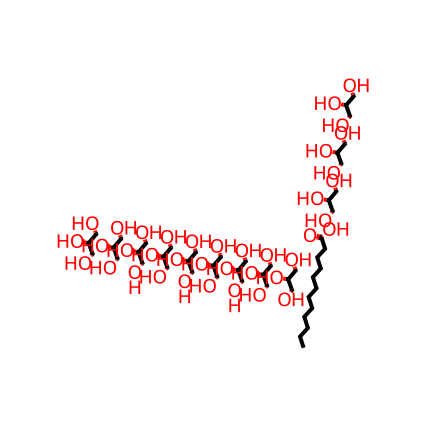 CCCCCCCCCCCC(=O)O.OCC(O)CO.OCC(O)CO.OCC(O)CO.OCC(O)CO.OCC(O)CO.OCC(O)CO.OCC(O)CO.OCC(O)CO.OCC(O)CO.OCC(O)CO.OCC(O)CO.OCC(O)CO